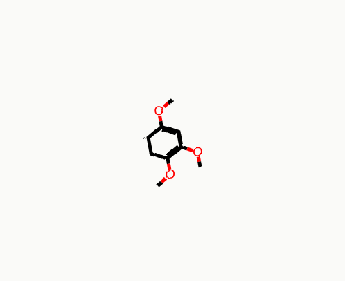 COC1=CC(OC)=C(OC)C[CH]1